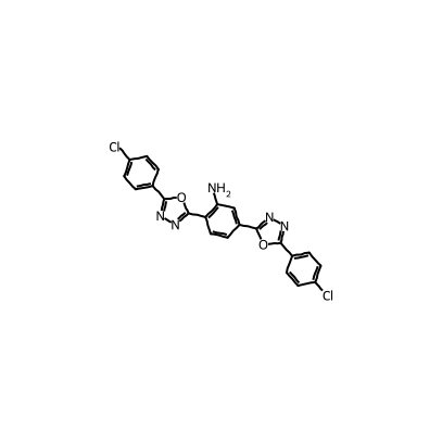 Nc1cc(-c2nnc(-c3ccc(Cl)cc3)o2)ccc1-c1nnc(-c2ccc(Cl)cc2)o1